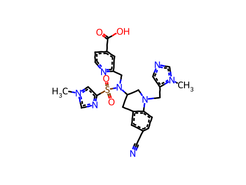 Cn1cnc(S(=O)(=O)N(Cc2cc(C(=O)O)ccn2)C2Cc3cc(C#N)ccc3N(Cc3cncn3C)C2)c1